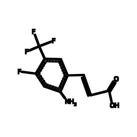 Nc1cc(F)c(C(F)(F)F)cc1C=CC(=O)O